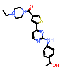 CCN1CCN(C(=O)c2csc(-c3ccnc(Nc4ccc(C(C)O)cc4)n3)c2)CC1